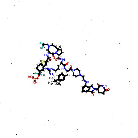 CC(C)(C)c1ccc(C[C@H](NC(=O)[C@H](CCCNC(=N)N)NC(=O)[C@@H]2CC[C@@H]3CCN(CC(F)F)C[C@H](NC(=O)c4cc5cc(C(F)(F)OP(O)O)ccc5s4)C(=O)N32)C(=O)N2CCN(CCNc3cccc4c3CN(C3CCC(=O)NC3=O)C4=O)CC2)cc1